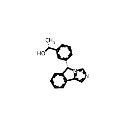 C[C@@H](O)c1cccc([C@H]2c3ccccc3-c3cncn32)c1